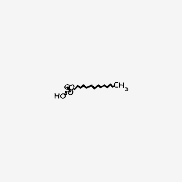 CCCCCCCCCCCCCCOS(=O)(=O)CCO